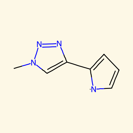 Cn1cc(C2=CC=C[N]2)nn1